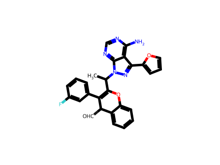 CC(C1=C(c2cccc(F)c2)C(C=O)c2ccccc2O1)n1nc(-c2ccco2)c2c(N)ncnc21